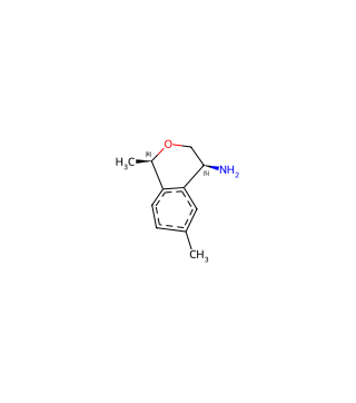 Cc1ccc2c(c1)[C@H](N)CO[C@@H]2C